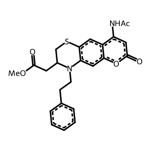 COC(=O)CC1CSc2cc3c(NC(C)=O)cc(=O)oc3cc2N1CCc1ccccc1